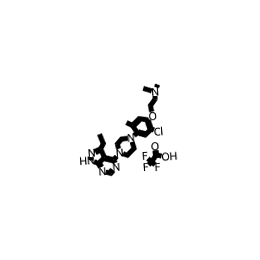 CCc1n[nH]c2ncnc(N3CCN(c4cc(Cl)c(OCCN(C)C)cc4C)CC3)c12.O=C(O)C(F)(F)F